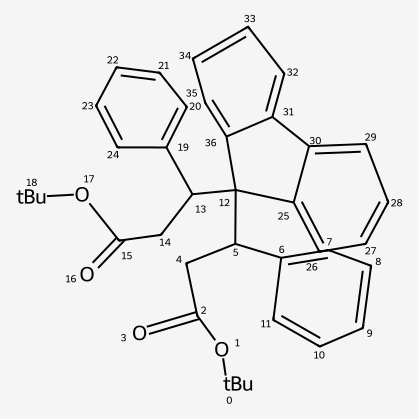 CC(C)(C)OC(=O)CC(c1ccccc1)C1(C(CC(=O)OC(C)(C)C)c2ccccc2)c2ccccc2-c2ccccc21